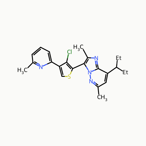 CCC(CC)c1cc(C)nn2c(-c3scc(-c4cccc(C)n4)c3Cl)c(C)nc12